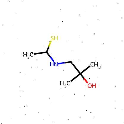 CC(S)NCC(C)(C)O